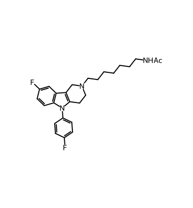 CC(=O)NCCCCCCCN1CCc2c(c3cc(F)ccc3n2-c2ccc(F)cc2)C1